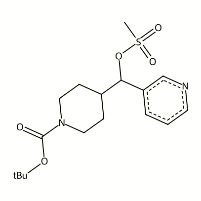 CC(C)(C)OC(=O)N1CCC(C(OS(C)(=O)=O)c2cccnc2)CC1